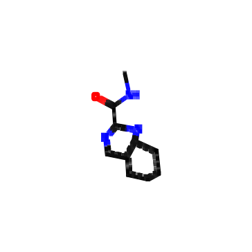 CNC(=O)c1ncc2ccccc2n1